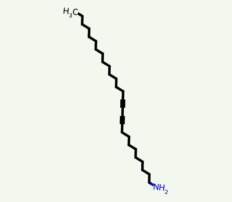 CCCCCCCCCCCCCCC#CC#CCCCCCCCCCN